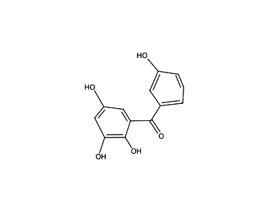 O=C(c1cccc(O)c1)c1cc(O)cc(O)c1O